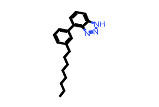 CCCCCCCCc1cccc(-c2cccc3[nH]nnc23)c1